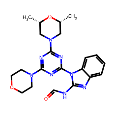 C[C@@H]1CN(c2nc(N3CCOCC3)nc(-n3c(NC=O)nc4ccccc43)n2)C[C@H](C)O1